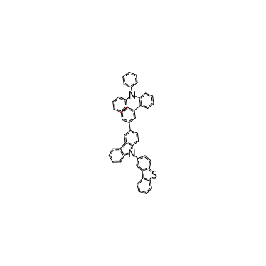 c1ccc(N(c2ccccc2)c2ccccc2-c2cccc(-c3ccc4c(c3)c3ccccc3n4-c3ccc4sc5ccccc5c4c3)c2)cc1